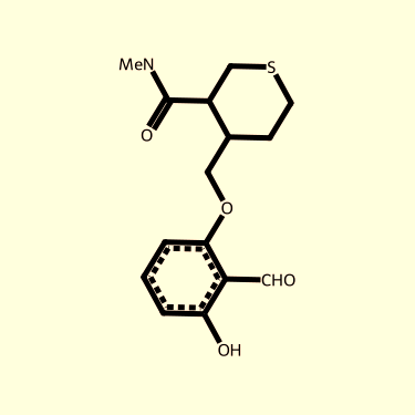 CNC(=O)C1CSCCC1COc1cccc(O)c1C=O